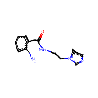 Nc1ccccc1C(=O)NCCn1ccnc1